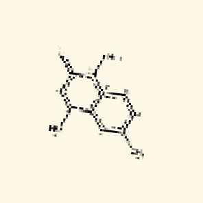 CCCCCCn1c(=O)cc(O)c2cc(C)ccc21